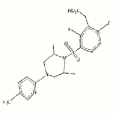 CC1CN(c2ccc(C(F)(F)F)cn2)CC(C)N1S(=O)(=O)c1ccc(F)c(CC(=O)O)c1F